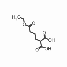 CCOC(=O)CCCC(C(=O)O)C(=O)O